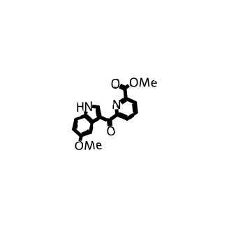 COC(=O)c1cccc(C(=O)c2c[nH]c3ccc(OC)cc23)n1